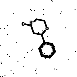 [CH2-][NH+]1CCOC(c2ccccc2)C1